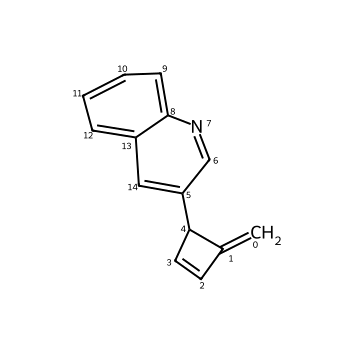 C=C1C=CC1c1cnc2ccccc2c1